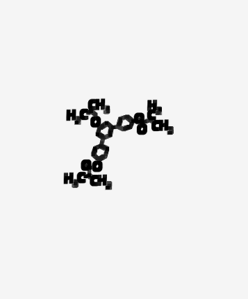 C=C(C)COc1cc(-c2ccc(OC(=O)C(=C)C)cc2)cc(-c2ccc(OC(=O)C(=C)C)cc2)c1